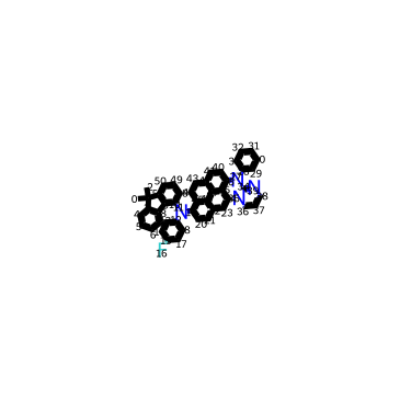 CC1(C)c2ccccc2-c2c(N(c3ccc(F)cc3)c3ccc4ccc5c(N(c6ccccc6)c6ncccn6)ccc6ccc3c4c65)cccc21